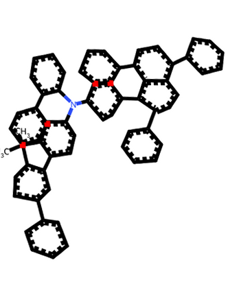 CC1(C)c2ccc(-c3ccccc3)cc2-c2ccc(N(c3ccc(-c4c(-c5ccccc5)ccc5c(-c6ccccc6)ccc(-c6ccccc6)c45)cc3)c3ccccc3-c3ccccc3)cc21